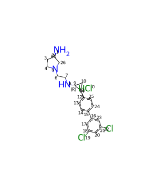 Cl.N[C@@H]1CCN(CCN[C@@H]2C[C@H]2c2ccc(-c3cc(Cl)cc(Cl)c3)cc2)C1